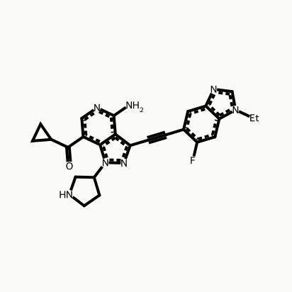 CCn1cnc2cc(C#Cc3nn(C4CCNC4)c4c(C(=O)C5CC5)cnc(N)c34)c(F)cc21